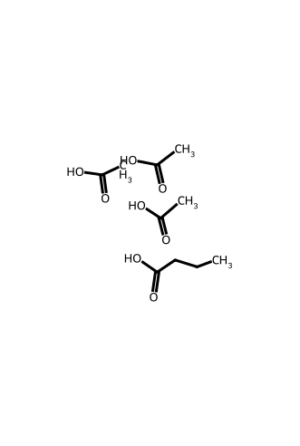 CC(=O)O.CC(=O)O.CC(=O)O.CCCC(=O)O